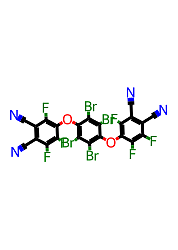 N#Cc1c(F)c(F)c(Oc2c(Br)c(Br)c(Oc3c(F)c(F)c(C#N)c(C#N)c3F)c(Br)c2Br)c(F)c1C#N